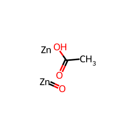 CC(=O)O.[O]=[Zn].[Zn]